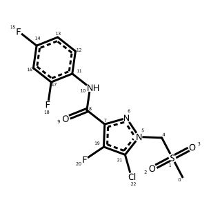 CS(=O)(=O)Cn1nc(C(=O)Nc2ccc(F)cc2F)c(F)c1Cl